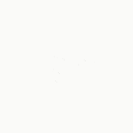 CN(C)Cc1ccc(N(C)CCN2CCNC2=C(C(=O)O)C(=O)O)o1